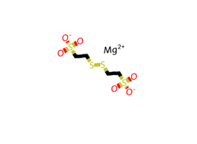 O=S(=O)([O-])CCSSCCS(=O)(=O)[O-].[Mg+2]